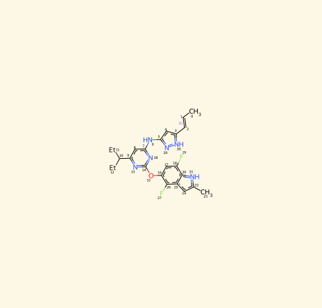 C/C=C/c1cc(Nc2cc(C(CC)CC)nc(Oc3cc(F)c4[nH]c(C)cc4c3F)n2)n[nH]1